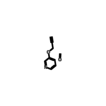 C#CCOc1cccnc1.C=O